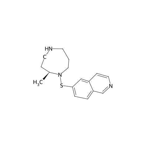 C[C@H]1CCNCCCN1Sc1ccc2cnccc2c1